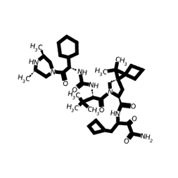 C[C@H]1CN(C(=O)[C@@H](NC(=O)N[C@H](C(=O)N2C[C@]3(C[C@H]2C(=O)NC(CC2CCC2)C(=O)C(N)=O)C(C)(C)C32CCC2)C(C)(C)C)C2CCCCC2)C[C@H](C)N1